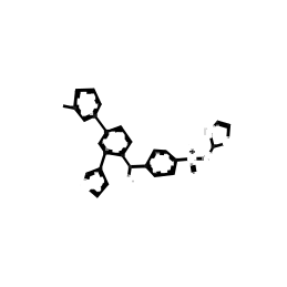 O=S(=O)(NC1NC=CS1)c1ccc(C(O)c2ccc(-c3cccc(F)c3)cc2-c2ccoc2)cc1